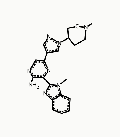 CN1CCC(n2cc(-c3cnc(N)c(-c4nc5ccccc5n4C)n3)cn2)CC1